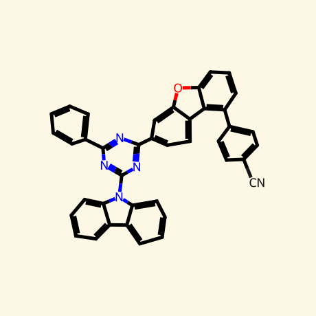 N#Cc1ccc(-c2cccc3oc4cc(-c5nc(-c6ccccc6)nc(-n6c7ccccc7c7ccccc76)n5)ccc4c23)cc1